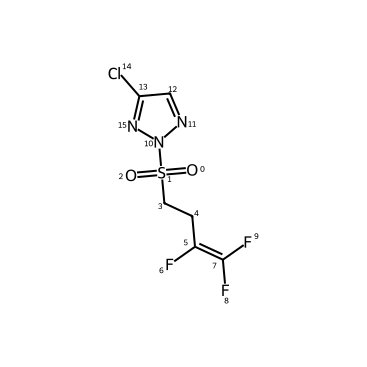 O=S(=O)(CCC(F)=C(F)F)n1ncc(Cl)n1